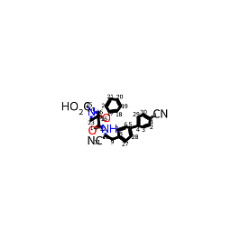 N#Cc1ccc(-c2ccc(C[C@@H](C#N)NC(=O)C3(Oc4ccccc4)CN(C(=O)O)C3)cc2)cc1